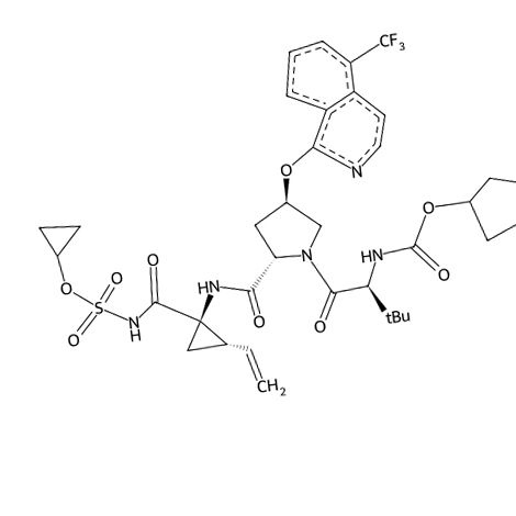 C=C[C@@H]1C[C@]1(NC(=O)[C@@H]1C[C@@H](Oc2nccc3c(C(F)(F)F)cccc23)CN1C(=O)[C@@H](NC(=O)OC1CCCC1)C(C)(C)C)C(=O)NS(=O)(=O)OC1CC1